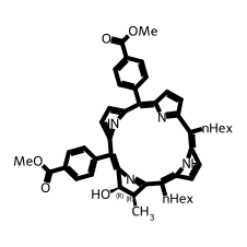 CCCCCCc1c2nc(c(-c3ccc(C(=O)OC)cc3)c3ccc([nH]3)c(-c3ccc(C(=O)OC)cc3)c3nc(c(CCCCCC)c4ccc1[nH]4)[C@@H](C)[C@H]3O)C=C2